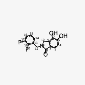 O=C1c2ccc(O)c(O)c2CN1Cc1cccc(F)c1F